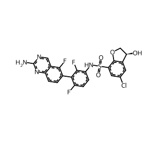 Nc1ncc2c(F)c(-c3c(F)ccc(NS(=O)(=O)c4cc(Cl)cc5c4OC[C@H]5O)c3F)ccc2n1